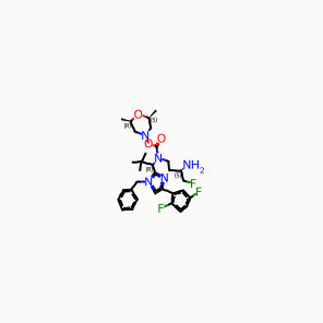 C[C@@H]1CN(OC(=O)N(CC[C@H](N)CF)[C@@H](c2nc(-c3cc(F)ccc3F)cn2Cc2ccccc2)C(C)(C)C)C[C@H](C)O1